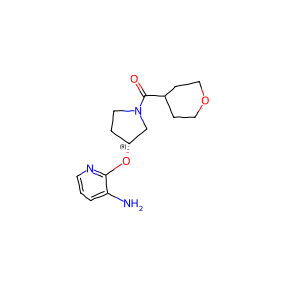 Nc1cccnc1O[C@@H]1CCN(C(=O)C2CCOCC2)C1